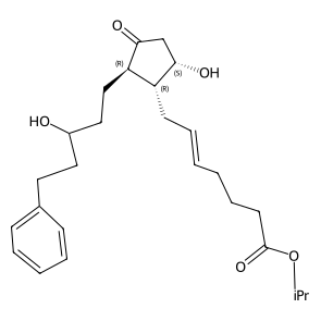 CC(C)OC(=O)CCCC=CC[C@H]1[C@@H](O)CC(=O)[C@@H]1CCC(O)CCc1ccccc1